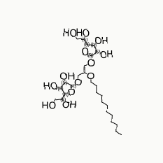 CCCCCCCCCCCCOC(CO[C@@H]1O[C@H]([C@@H](O)CO)[C@H](O)[C@@H]1O)CO[C@@H]1O[C@H]([C@@H](O)CO)[C@H](O)[C@@H]1O